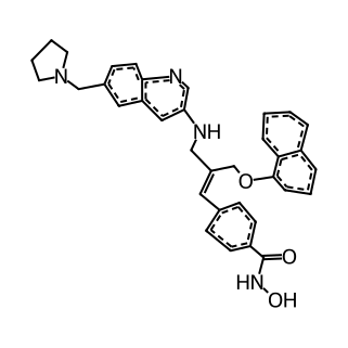 O=C(NO)c1ccc(/C=C(/CNc2cnc3ccc(CN4CCCC4)cc3c2)COc2cccc3ccccc23)cc1